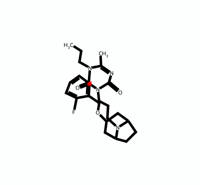 CCCn1c(C)nc(=O)n(CCCN2C3CCC2CC(OCc2ccccc2F)C3)c1=O